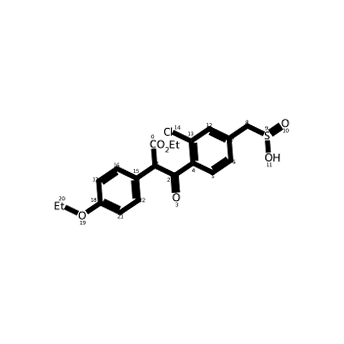 CCOC(=O)C(C(=O)c1ccc(CS(=O)O)cc1Cl)c1ccc(OCC)cc1